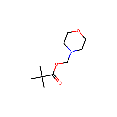 CC(C)(C)C(=O)OCN1CCOCC1